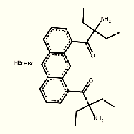 Br.Br.CCC(N)(CC)C(=O)c1cccc2cc3cccc(C(=O)C(N)(CC)CC)c3cc12